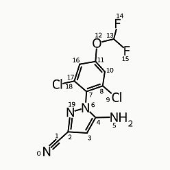 N#Cc1cc(N)n(-c2c(Cl)cc(OC(F)F)cc2Cl)n1